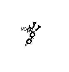 Cc1c(C#N)nc([C@]2(OCC3CC3)CC[C@](C)(c3ccc(F)cc3)CC2)n1CC1CC1